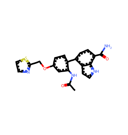 CC(=O)Nc1cc(OCc2nccs2)ccc1-c1ccc(C(N)=O)c2[nH]ccc12